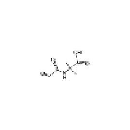 CC(C)(NC(=O)C=O)C(=O)O